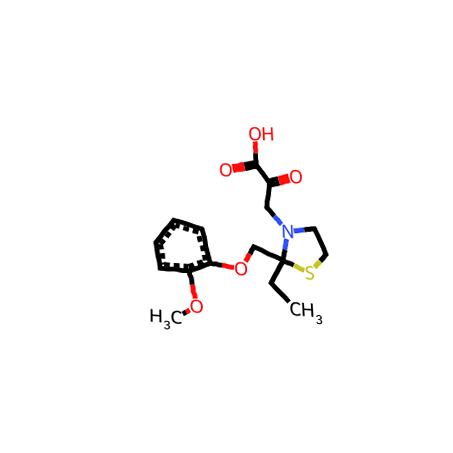 CCC1(COc2ccccc2OC)SCCN1CC(=O)C(=O)O